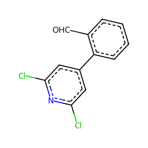 O=Cc1ccccc1-c1cc(Cl)nc(Cl)c1